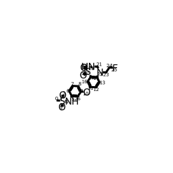 CS(=O)(=O)Nc1cccc(Oc2ccc3c(c2)S(=O)(=O)NCN3CCF)c1